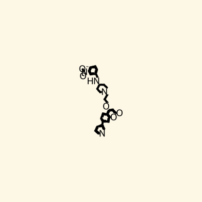 O=c1cc(OCCCN2CCC(NCc3cccc([N+](=O)[O-])c3)CC2)c2ccc(-c3cccnc3)cc2o1